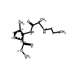 CCCN[C@H](C)C(=O)Nc1c(C)csc1C(=O)OC